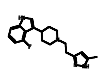 Cc1cc(CCN2CCC(c3c[nH]c4cccc(F)c34)CC2)n[nH]1